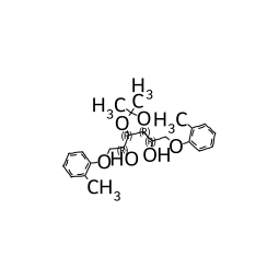 Cc1ccccc1OC[C@@H](O)[C@H]1OC(C)(C)O[C@@H]1[C@H](O)COc1ccccc1C